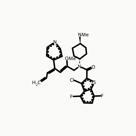 C=C/C=C(\C=C(\CN(C(=O)c1sc2c(F)ccc(F)c2c1Cl)[C@H]1CC[C@H](NC)CC1)OC)c1ccncc1